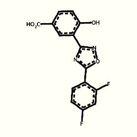 O=C(O)c1ccc(O)c(-c2noc(-c3ccc(F)cc3F)n2)c1